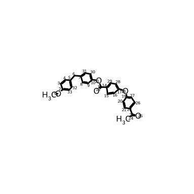 COc1ccc(Cc2ccc(OC(=O)c3ccc(Oc4ccc(C(C)=O)cc4)cc3)cc2)cc1